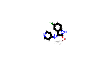 CCOC(=O)Oc1[nH]c2ccc(Cl)cc2c1Nc1ccncc1